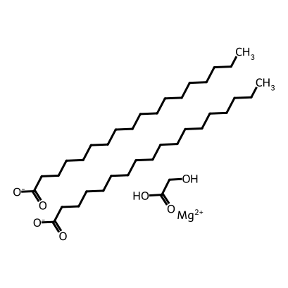 CCCCCCCCCCCCCCCCCC(=O)[O-].CCCCCCCCCCCCCCCCCC(=O)[O-].O=C(O)CO.[Mg+2]